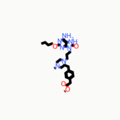 CCCCOc1nc(N)c2[nH]c(=O)n(CCCN3CCN(C)CC3Cc3ccc(CC(=O)OC)cc3)c2n1